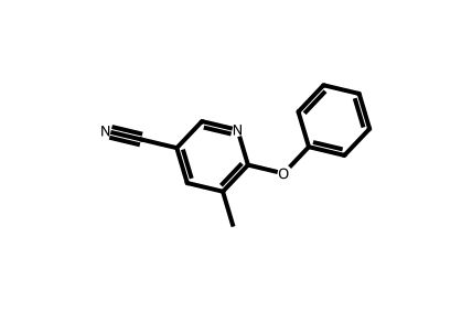 Cc1cc(C#N)cnc1Oc1ccccc1